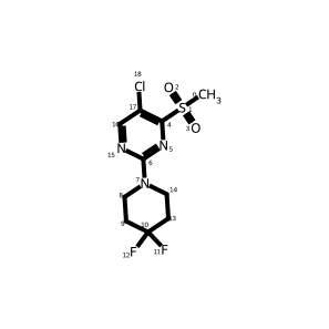 CS(=O)(=O)c1nc(N2CCC(F)(F)CC2)ncc1Cl